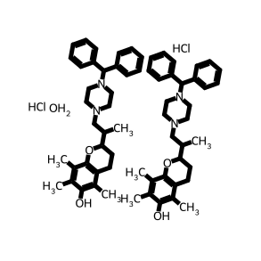 Cc1c(C)c2c(c(C)c1O)CCC(C(C)CN1CCN(C(c3ccccc3)c3ccccc3)CC1)O2.Cc1c(C)c2c(c(C)c1O)CCC(C(C)CN1CCN(C(c3ccccc3)c3ccccc3)CC1)O2.Cl.Cl.O